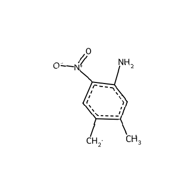 [CH2]c1cc([N+](=O)[O-])c(N)cc1C